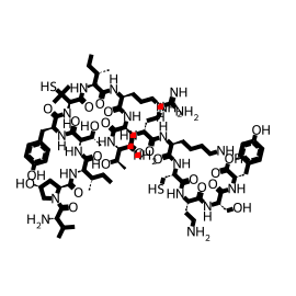 CC[C@H](C)[C@H](NC(=O)[C@@H](NC(=O)[C@H](Cc1ccc(O)cc1)NC(=O)[C@@H](NC(=O)[C@@H](NC(=O)[C@@H]1C[C@@H](O)CN1C(=O)[C@@H](N)C(C)C)[C@@H](C)CC)[C@@H](C)O)C(C)(C)S)C(=O)N[C@@H](CCCNC(=N)N)C(=O)N[C@@H](CCN)C(=O)N[C@H](C(=O)N[C@H](CCN)C(=O)N[C@@H](CCCCN)C(=O)N[C@@H](CS)C(=O)N[C@@H](CCN)C(=O)N[C@@H](CO)C(=O)N[C@@H](Cc1ccc(O)cc1)C(=O)O)[C@@H](C)O